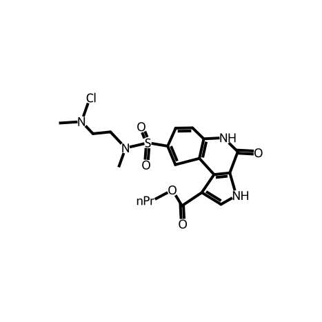 CCCOC(=O)c1c[nH]c2c(=O)[nH]c3ccc(S(=O)(=O)N(C)CCN(C)Cl)cc3c12